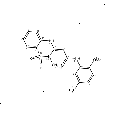 COc1ccc(C)cc1NC(=O)/C=C1/Nc2ccccc2S(=O)(=O)N1C